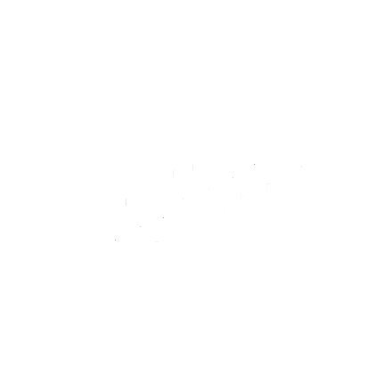 CC(F)(F)C(F)(F)C(F)(F)C(F)(F)C(F)(F)C(F)(F)C(F)(F)C(=O)O